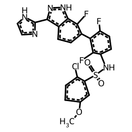 COc1ccc(Cl)c(S(=O)(=O)Nc2ccc(F)c(-c3ccc4c(-c5ncc[nH]5)n[nH]c4c3F)c2F)c1